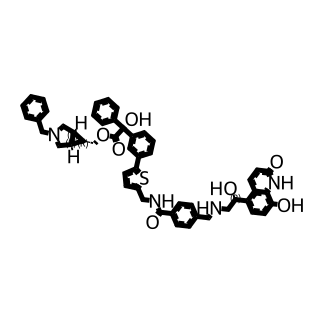 O=C(NCc1ccc(-c2cccc(C(O)(C(=O)OC[C@@H]3[C@H]4CN(Cc5ccccc5)C[C@@H]34)c3ccccc3)c2)s1)c1ccc(CNC[C@H](O)c2ccc(O)c3[nH]c(=O)ccc23)cc1